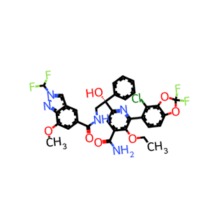 CCOc1c(C(N)=O)cc([C@@](O)(CNC(=O)c2cc(OC)c3nn(C(F)F)cc3c2)c2ccccc2)nc1-c1ccc2c(c1Cl)OC(F)(F)O2